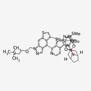 CSc1nc(N2C[C@H]3CC[C@@H](C2)N3C(=O)OC(C)(C)C)c2c(n1)sc1c(-c3c4cnn(COCC[Si](C)(C)C)c4cc4scc(C#C[Si](C(C)C)(C(C)C)C(C)C)c34)nccc12